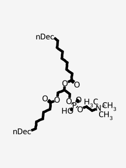 CCCCCCCCCCCCCCCCCC(=O)OC(COC(=O)CCCCCCCCCCCCCCC)COP(=O)(O)OCC[N+](C)(C)C